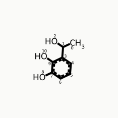 CC(O)c1cccc(O)c1O